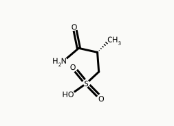 C[C@H](CS(=O)(=O)O)C(N)=O